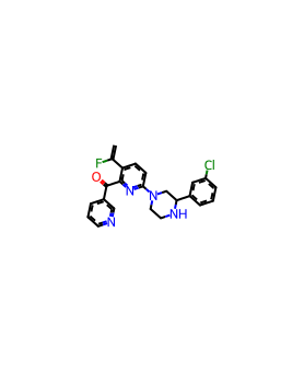 C=C(F)c1ccc(N2CCNC(c3cccc(Cl)c3)C2)nc1C(=O)c1cccnc1